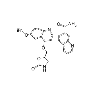 CC(C)Oc1ccc2nccc(OC[C@H]3CNC(=O)O3)c2c1.NC(=O)c1ccc2cccnc2c1